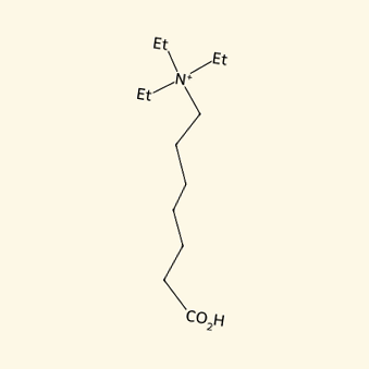 CC[N+](CC)(CC)CCCCCCC(=O)O